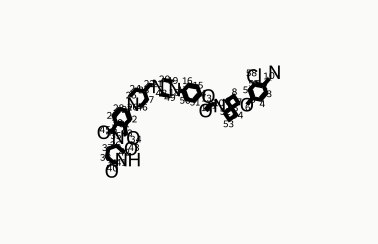 N#Cc1ccc(OC2CC3N(C(=O)Oc4ccc(N5CCN(CC6CCN(c7ccc8c(c7)C(=O)N(C7CCC(=O)NC7=O)C8=O)CC6)CC5)cc4)C4CCC243)cc1Cl